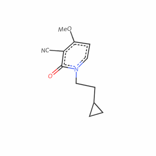 COc1ccn(CCC2CC2)c(=O)c1C#N